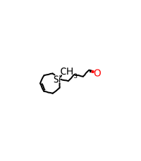 C[Si]1(CCCC=O)CCC=CCC1